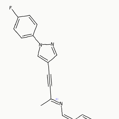 C=C/C=C\N=C(/C)C#Cc1cnn(-c2ccc(F)cc2)c1